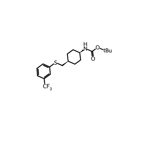 CC(C)(C)OC(=O)N[C@H]1CC[C@@H](CSc2cccc(C(F)(F)F)c2)CC1